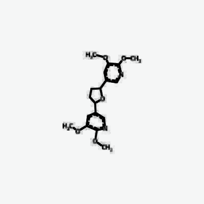 COc1cc(C2CCC(c3cnc(OC)c(OC)c3)O2)cnc1OC